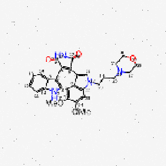 COc1cc2c(C3=C(c4c[nH]c5ccccc45)C(=O)NC3=O)cn(CCCN3CCOCC3)c2cc1OC